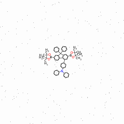 CC1(C)OB(c2ccc3c(c2)C(c2ccccc2)(c2ccccc2)c2cc(B4OC(C)(C)C(C)(C)O4)cc(-c4ccc(N(c5ccccc5)c5ccccc5)cc4)c2-3)OC1(C)C